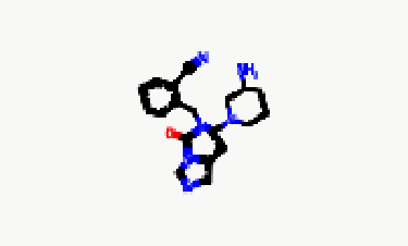 N#Cc1ccccc1Cn1c(N2CCCC(N)C2)cc2cncn2c1=O